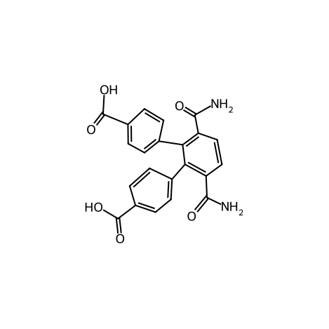 NC(=O)c1ccc(C(N)=O)c(-c2ccc(C(=O)O)cc2)c1-c1ccc(C(=O)O)cc1